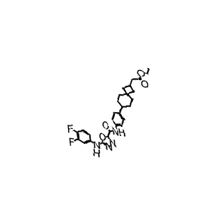 CCOC(=O)CC1CC2(CCC(c3ccc(NC(=O)c4nnc(Nc5ccc(F)c(F)c5)o4)cc3)CC2)C1